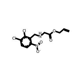 C=CCOC(=O)CNCc1c([N+](=O)[O-])ccc(Cl)c1Cl